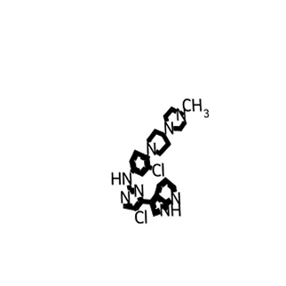 CN1CCN(C2CCN(c3ccc(Nc4ncc(Cl)c(-c5c[nH]c6ncccc56)n4)cc3Cl)CC2)CC1